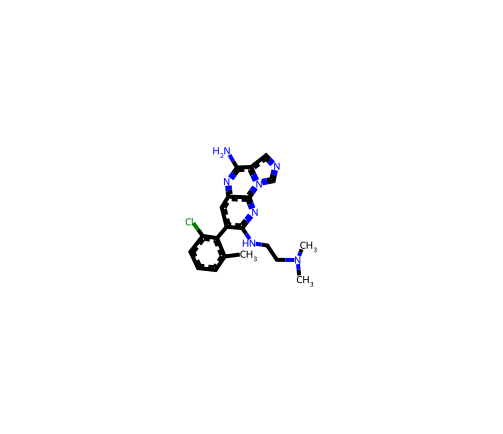 Cc1cccc(Cl)c1-c1cc2nc(N)c3cncn3c2nc1NCCN(C)C